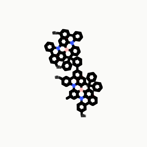 Cc1cc2c3c(c1)N(c1ccc(C(C)(C)C)cc1-c1cccc(-c4cccc([Si]5(c6ccccc6)c6cccc7c6B6c8c(cccc8N(c8ccccc8-c8ccc(C(C)(C)C)cc8)c8cccc5c86)N7c5ccccc5-c5ccc(C(C)(C)C)cc5)c4)c1)c1cccc4c1B3c1c(cccc1[Si]4(c1ccccc1)c1ccccc1)N2c1ccc(C(C)(C)C)cc1-c1ccccc1